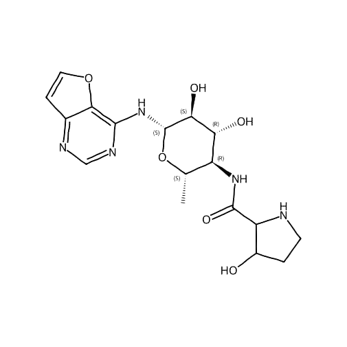 C[C@@H]1O[C@H](Nc2ncnc3ccoc23)[C@@H](O)[C@H](O)[C@H]1NC(=O)C1NCCC1O